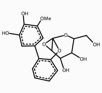 COc1cc(-c2ccccc2OC23OC(CO)C(O)C(O)C2O3)cc(O)c1O